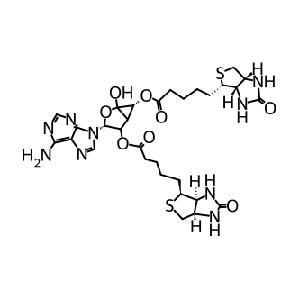 Nc1ncnc2c1ncn2[C@@H]1OC2(O)C(C1OC(=O)CCCC[C@@H]1SC[C@@H]3NC(=O)N[C@@H]31)[C@H]2OC(=O)CCCC[C@@H]1SC[C@@H]2NC(=O)N[C@@H]21